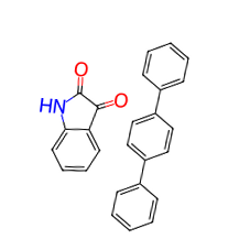 O=C1Nc2ccccc2C1=O.c1ccc(-c2ccc(-c3ccccc3)cc2)cc1